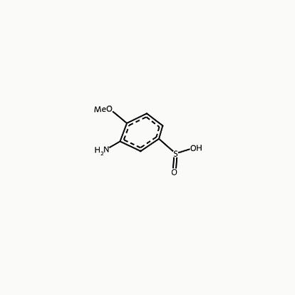 COc1ccc(S(=O)O)cc1N